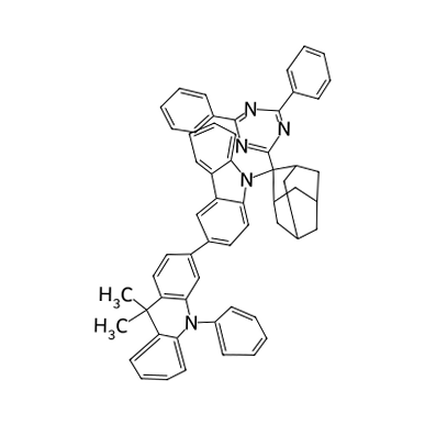 CC1(C)c2ccccc2N(c2ccccc2)c2cc(-c3ccc4c(c3)c3ccccc3n4C3(c4nc(-c5ccccc5)nc(-c5ccccc5)n4)C4CC5CC(C4)CC3C5)ccc21